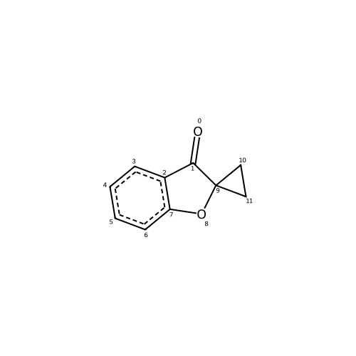 O=C1c2ccccc2OC12CC2